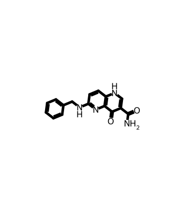 NC(=O)c1c[nH]c2ccc(NCc3ccccc3)nc2c1=O